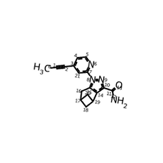 CC#Cc1ccnc(-n2nc(C(N)=O)c3c2CC2CC3C2)c1